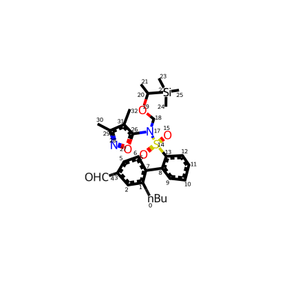 CCCCc1cc(C=O)ccc1-c1ccccc1S(=O)(=O)N(COC(C)[Si](C)(C)C)c1onc(C)c1C